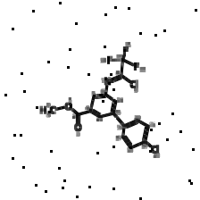 COC(=O)c1cc(N=C(Cl)C(F)(F)F)cc(-c2ccc(Cl)cc2)c1